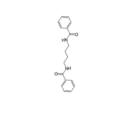 O=C(NCCCCNC(=O)c1ccccc1)c1ccccc1